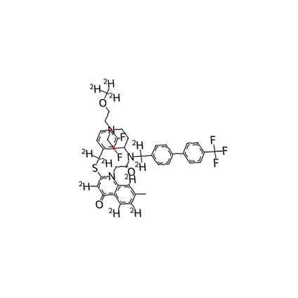 [2H]c1c(C)c([2H])c2c(c1[2H])c(=O)c([2H])c(SC([2H])([2H])c1cccc(F)c1F)n2CC(=O)N(C1CCN(CCOC([2H])([2H])[2H])CC1)C([2H])([2H])c1ccc(-c2ccc(C(F)(F)F)cc2)cc1